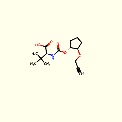 C#CCO[C@@H]1CCC[C@H]1OC(=O)N[C@H](C(=O)O)C(C)(C)C